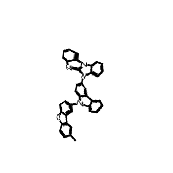 Cc1ccc2oc3ccc(-n4c5ccccc5c5cc(-n6c7ccccc7n7c8ccccc8nc67)ccc54)cc3c2c1